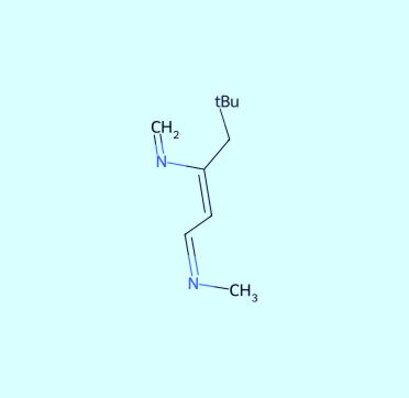 C=N/C(=C\C=N/C)CC(C)(C)C